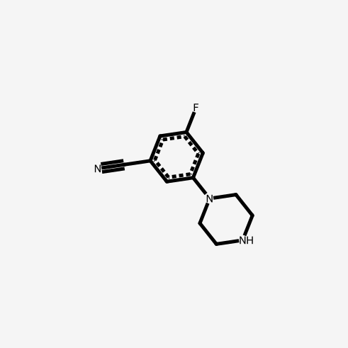 N#Cc1cc(F)cc(N2CCNCC2)c1